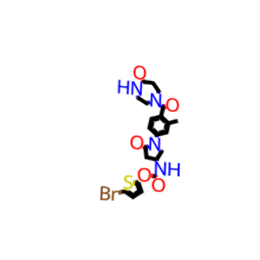 Cc1cc(N2CC(NC(=O)Oc3ccc(Br)s3)CC2=O)ccc1C(=O)N1CCNC(=O)CC1